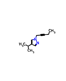 CCC#CCn1cc(C(C)C)cn1